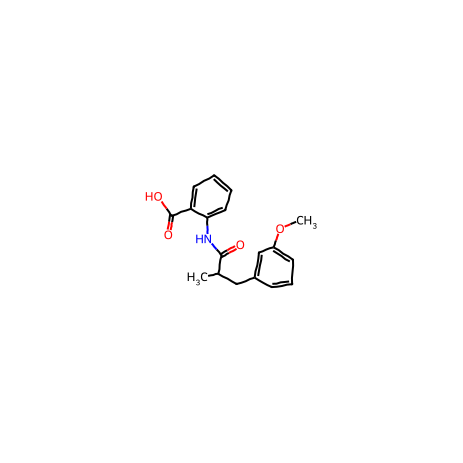 COc1cccc(CC(C)C(=O)Nc2ccccc2C(=O)O)c1